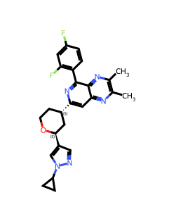 Cc1nc2cc([C@H]3CCO[C@H](c4cnn(C5CC5)c4)C3)nc(-c3ccc(F)cc3F)c2nc1C